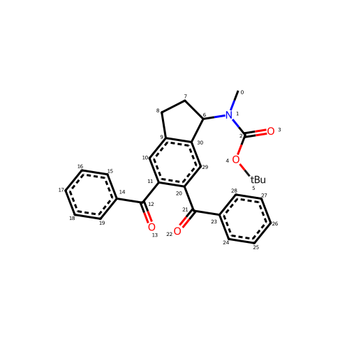 CN(C(=O)OC(C)(C)C)C1CCc2cc(C(=O)c3ccccc3)c(C(=O)c3ccccc3)cc21